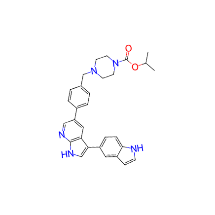 CC(C)OC(=O)N1CCN(Cc2ccc(-c3cnc4[nH]cc(-c5ccc6[nH]ccc6c5)c4c3)cc2)CC1